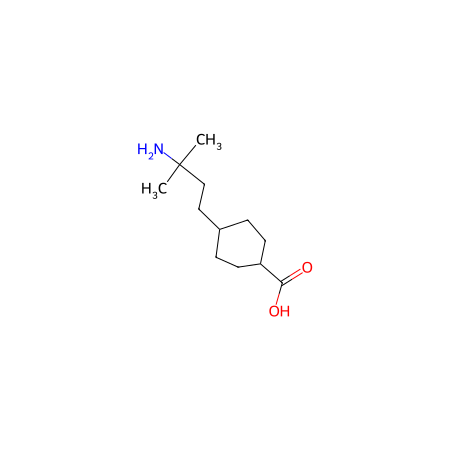 CC(C)(N)CCC1CCC(C(=O)O)CC1